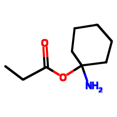 CCC(=O)OC1(N)CCCCC1